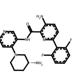 Nc1ccc(-c2c(F)cccc2F)nc1C(=O)Nc1cnccc1N1CCC[C@@H](N)C1